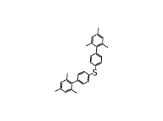 Cc1cc(C)c(-c2ccc(Sc3ccc(-c4c(C)cc(C)cc4C)cc3)cc2)c(C)c1